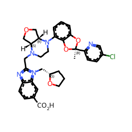 C[C@@]1(c2ccc(Cl)cn2)Oc2cccc(N3CCN(Cc4nc5ccc(C(=O)O)cc5n4C[C@@H]4CCCO4)[C@@H]4COC[C@@H]43)c2O1